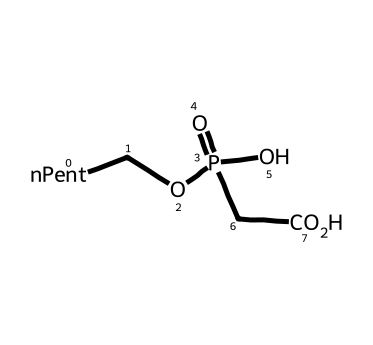 CCCCCCOP(=O)(O)CC(=O)O